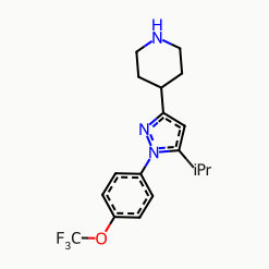 CC(C)c1cc(C2CCNCC2)nn1-c1ccc(OC(F)(F)F)cc1